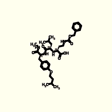 CNC(=O)[C@H](Cc1ccc(OCCC(C)C)cc1)NC(=O)[C@H](CC(C)C)N[C@H](CCNC(=O)OCc1ccccc1)C(=O)O